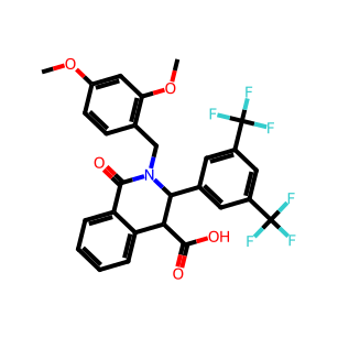 COc1ccc(CN2C(=O)c3ccccc3C(C(=O)O)C2c2cc(C(F)(F)F)cc(C(F)(F)F)c2)c(OC)c1